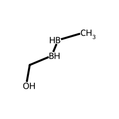 CBBCO